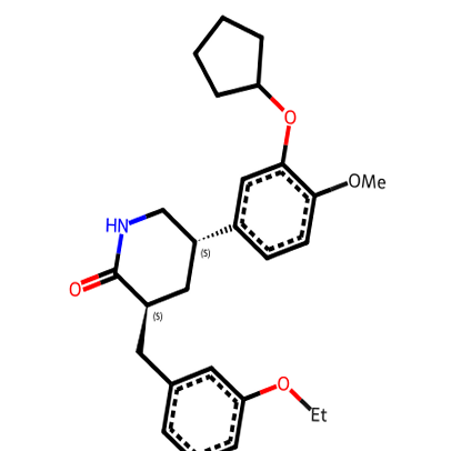 CCOc1cccc(C[C@@H]2C[C@@H](c3ccc(OC)c(OC4CCCC4)c3)CNC2=O)c1